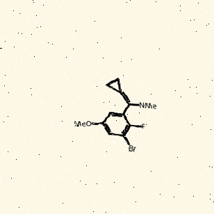 CNC(=C1CC1)c1cc(OC)cc(Br)c1F